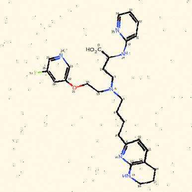 O=C(O)C(CCN(CCCCc1ccc2c(n1)NCCC2)CCOc1cncc(F)c1)Nc1ccccn1